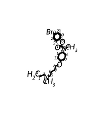 C=CCN(C)CCCCO[C@H]1CC[C@H](N(C)C(=O)Oc2ccc(Br)cc2)CC1